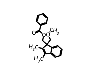 COCC1(COC(=O)c2ccccc2)C(C)=C(C)c2ccccc21